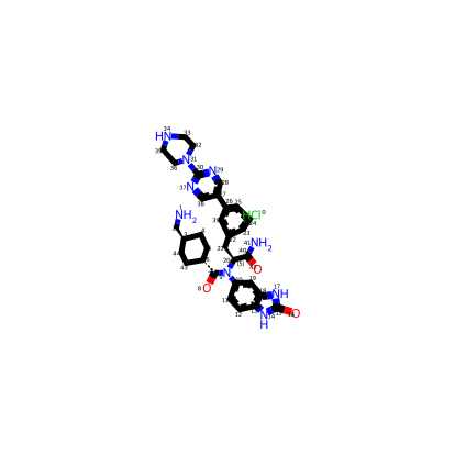 Cl.NC[C@H]1CC[C@H](C(=O)N(c2ccc3[nH]c(=O)[nH]c3c2)[C@@H](Cc2cccc(-c3cnc(N4CCNCC4)nc3)c2)C(N)=O)CC1